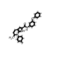 C=C1C=Cc2cc(C(=O)Nc3cccc(Oc4ccccc4)c3)[nH]c2N1c1ccc(F)cc1